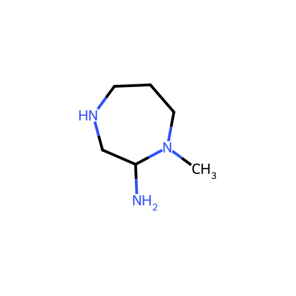 CN1CCCNCC1N